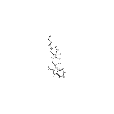 CCCOC1CCC(C)(N2CCC(n3c(=O)oc4ccccc43)CC2)CC1